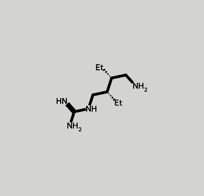 CC[C@H](CN)[C@H](CC)CNC(=N)N